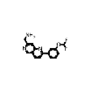 NCc1cc2nc(-c3cccc(OC(F)F)c3)ccc2cn1